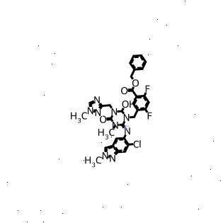 CN1C(=O)N(Cc2ncn(C)n2)C(O)N(Cc2cc(C(=O)OCc3ccccc3)c(F)cc2F)/C1=N/c1cc2cn(C)nc2cc1Cl